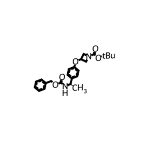 C[C@H](NC(=O)OCc1ccccc1)c1ccc(OC2CN(C(=O)OC(C)(C)C)C2)cc1